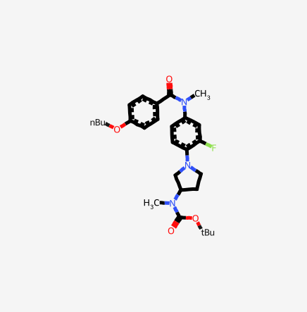 CCCCOc1ccc(C(=O)N(C)c2ccc(N3CCC(N(C)C(=O)OC(C)(C)C)C3)c(F)c2)cc1